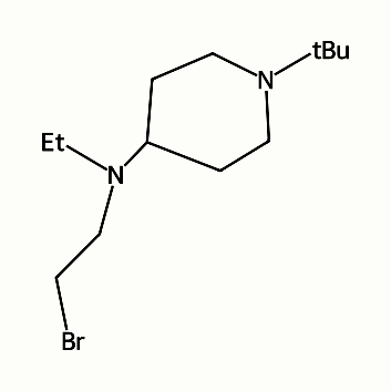 CCN(CCBr)C1CCN(C(C)(C)C)CC1